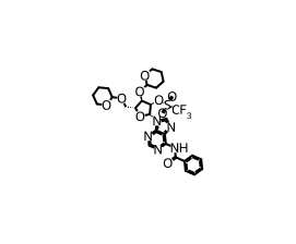 O=C(Nc1ncnc2c1ncn2[C@@H]1O[C@H](COC2CCCCO2)[C@@H](OC2CCCCO2)[C@@H]1OS(=O)(=O)C(F)(F)F)c1ccccc1